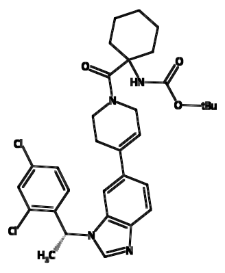 C[C@H](c1ccc(Cl)cc1Cl)n1cnc2ccc(C3=CCN(C(=O)C4(NC(=O)OC(C)(C)C)CCCCC4)CC3)cc21